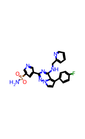 NS(=O)(=O)c1cncc(-c2nc(NCc3ccccn3)c3c(-c4ccc(F)cc4)ccn3n2)c1